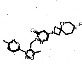 Cc1ccc(-c2noc(C)c2Cn2ncc(N3CC4(CC[C@@H](F)CO4)C3)cc2=O)nn1